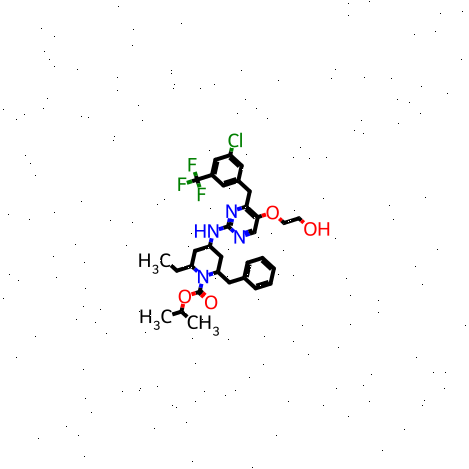 CCC1CC(Nc2ncc(OCCO)c(Cc3cc(Cl)cc(C(F)(F)F)c3)n2)CC(Cc2ccccc2)N1C(=O)OC(C)C